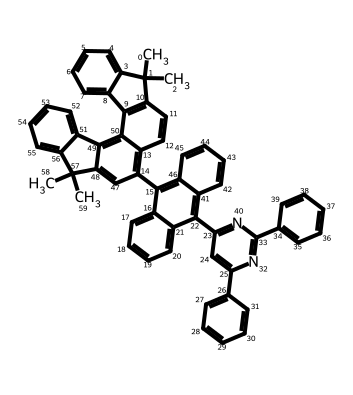 CC1(C)c2ccccc2-c2c1ccc1c(-c3c4ccccc4c(-c4cc(-c5ccccc5)nc(-c5ccccc5)n4)c4ccccc34)cc3c(c21)-c1ccccc1C3(C)C